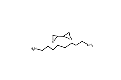 C1OC1C1CO1.NCCCCCCCCN